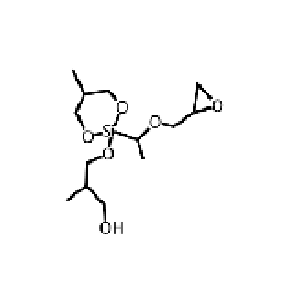 CC(CO)CO[Si]1(C(C)OCC2CO2)OCC(C)CO1